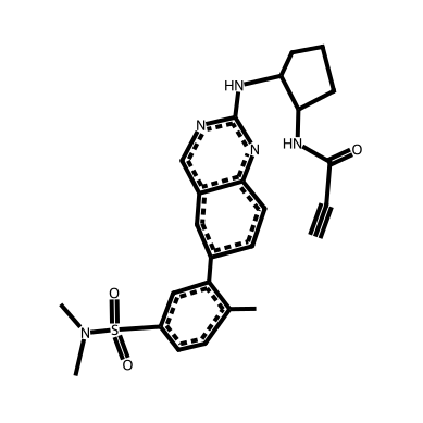 C#CC(=O)NC1CCCC1Nc1ncc2cc(-c3cc(S(=O)(=O)N(C)C)ccc3C)ccc2n1